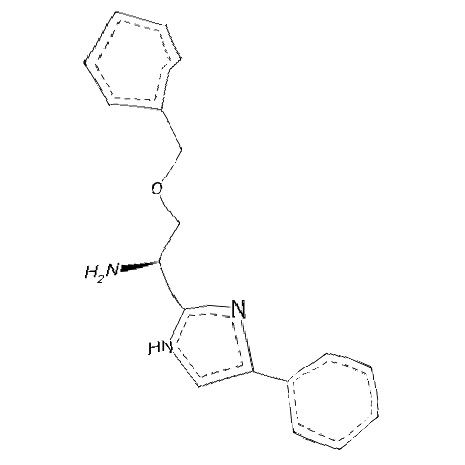 N[C@@H](COCc1ccccc1)c1nc(-c2ccccc2)c[nH]1